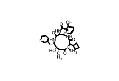 C[C@H]1NC(=O)C(C2CCC2)N(C)C(=O)[C@H](C)[C@H](O)[C@H](Cc2cccnc2)NC(=O)[C@H]1NC(=O)c1ncccc1O